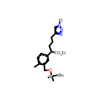 CCOC(=O)C(CCCc1cn(CC)nn1)c1ccc(C)c(CO[Si](C)(C)C(C)(C)C)c1